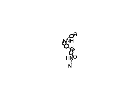 COc1ccc(CNc2nccc3ccc(-c4csc5cc(C(=O)NCCCN(C)C)ccc45)cc23)cc1